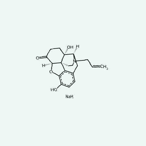 C=CCN1CC[C@]23c4c5ccc(O)c4O[C@H]2C(=O)CC[C@@]3(O)[C@H]1C5.[NaH]